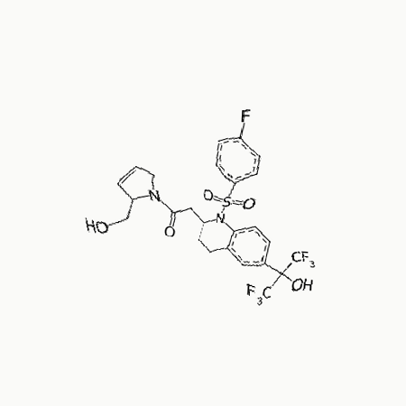 O=C(CC1CCc2cc(C(O)(C(F)(F)F)C(F)(F)F)ccc2N1S(=O)(=O)c1ccc(F)cc1)N1CC=CC1CO